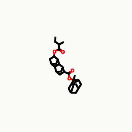 CCC(C)C(=O)OC1CC2CC1C1C3CC(CC3C(=O)OC3(C)C4CC5CC(C4)CC3C5)C21